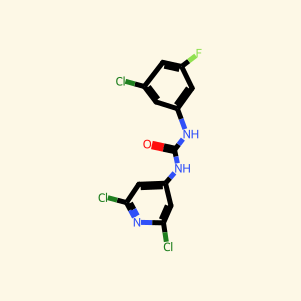 O=C(Nc1cc(F)cc(Cl)c1)Nc1cc(Cl)nc(Cl)c1